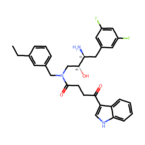 CCc1cccc(CN(C[C@@H](O)[C@@H](N)Cc2cc(F)cc(F)c2)C(=O)CCC(=O)c2c[nH]c3ccccc23)c1